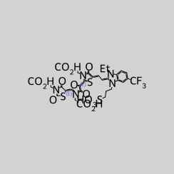 CCN1C(=CC=c2s/c(=c3/o/c(=C4/SC(=O)N(CC(=O)O)C4=O)n(CC(=O)O)c3=O)n(CC(=O)O)c2=O)N(CCCS(=O)(=O)O)c2cc(C(F)(F)F)ccc21